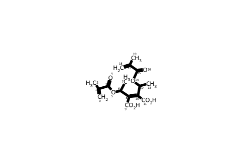 C=C(C)C(=O)OC(C)/C(C(=O)O)=C(/C(=O)O)C(C)OC(=O)C(=C)C